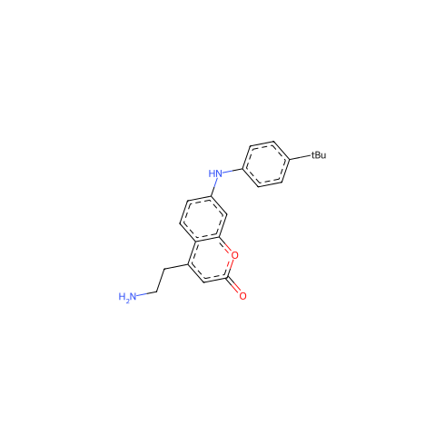 CC(C)(C)c1ccc(Nc2ccc3c(CCN)cc(=O)oc3c2)cc1